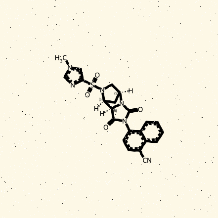 Cn1cnc(S(=O)(=O)N2C[C@@H]3C[C@H]2[C@@H]2C(=O)N(c4ccc(C#N)c5ccccc45)C(=O)N32)c1